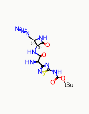 CC(C)(C)OC(=O)Nc1nc(C(=N)C(=O)N[C@@H]2C(=O)N[C@@H]2CN=[N+]=[N-])ns1